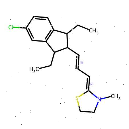 CCC1c2ccc(Cl)cc2C(CC)C1/C=C/C=C1\SCCN1C